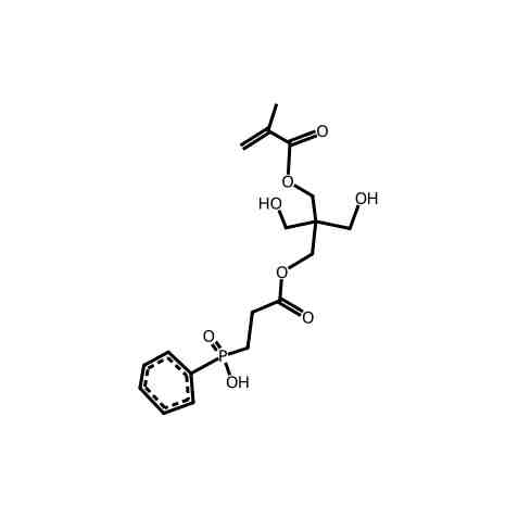 C=C(C)C(=O)OCC(CO)(CO)COC(=O)CCP(=O)(O)c1ccccc1